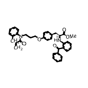 C=CC(=O)N(CCCOc1ccc(C[C@H](Nc2ccccc2C(=O)c2ccccc2)C(=O)OC)cc1)c1ccccc1C